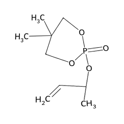 C=CC(C)OP1(=O)OCC(C)(C)CO1